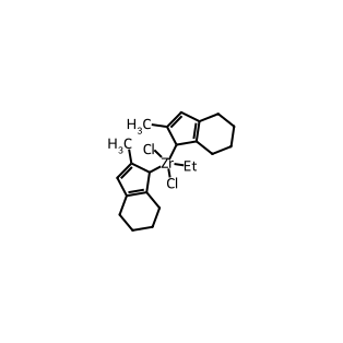 C[CH2][Zr]([Cl])([Cl])([CH]1C(C)=CC2=C1CCCC2)[CH]1C(C)=CC2=C1CCCC2